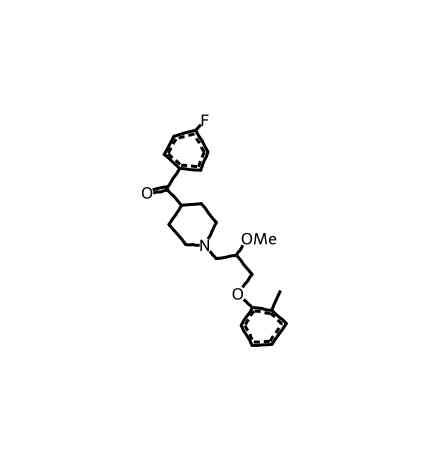 COC(COc1ccccc1C)CN1CCC(C(=O)c2ccc(F)cc2)CC1